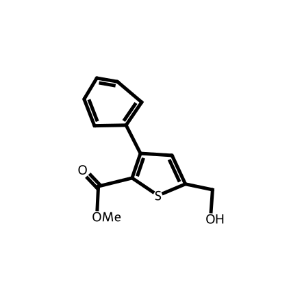 COC(=O)c1sc(CO)cc1-c1ccccc1